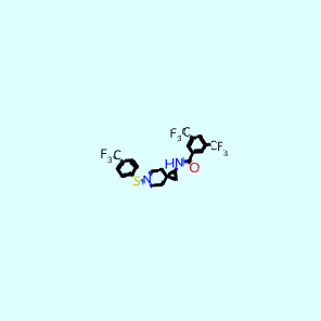 O=C(NC1CC12CCN(Sc1ccc(C(F)(F)F)cc1)CC2)c1cc(C(F)(F)F)cc(C(F)(F)F)c1